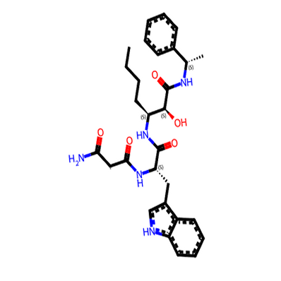 CCCC[C@H](NC(=O)[C@H](Cc1c[nH]c2ccccc12)NC(=O)[CH]C(N)=O)[C@H](O)C(=O)N[C@@H](C)c1ccccc1